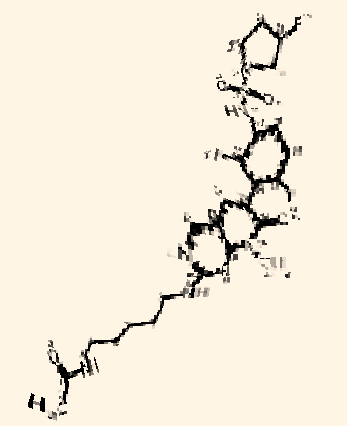 CC(=O)NCCCCCNc1ncc2cc(-c3c(F)ccc(NS(=O)(=O)N4CC[C@@H](F)C4)c3F)c(=O)n(C)c2n1